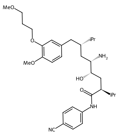 COCCCOc1cc(C[C@@H](C[C@H](N)[C@@H](O)C[C@H](C(=O)Nc2ccc(C#N)cc2)C(C)C)C(C)C)ccc1OC